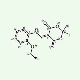 CC1(C)OC(=O)C(=CNc2cccnc2OCF)C(=O)O1